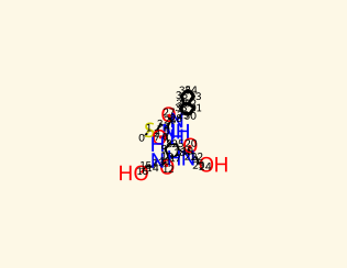 CSCC[C@H](NC(=O)[C@@H]1C[C@H](C(=O)NCCO)C[C@H](C(=O)NCCO)C1)C(=O)Nc1ccc2ccccc2c1